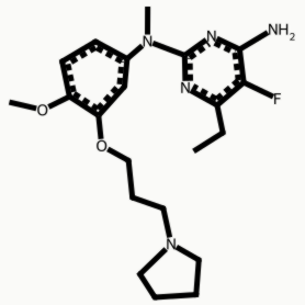 CCc1nc(N(C)c2ccc(OC)c(OCCCN3CCCC3)c2)nc(N)c1F